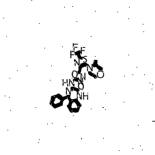 CC1COCCN1c1sc(C(F)(F)F)nc1-c1nnc(NC2N=C(c3ccccc3)c3ccccc3NC2=O)o1